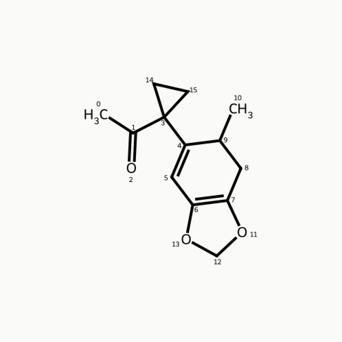 CC(=O)C1(C2=CC3=C(CC2C)OCO3)CC1